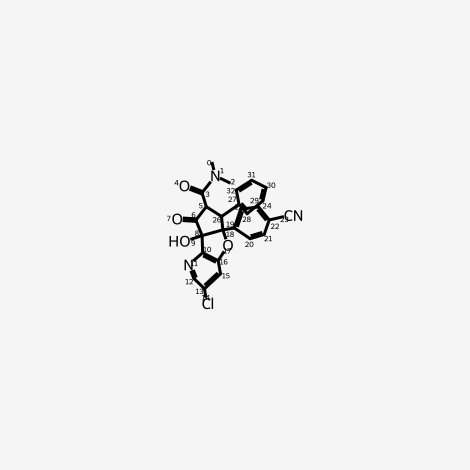 CN(C)C(=O)C1C(=O)C2(O)c3ncc(Cl)cc3OC2(c2ccc(C#N)cc2)C1c1ccccc1